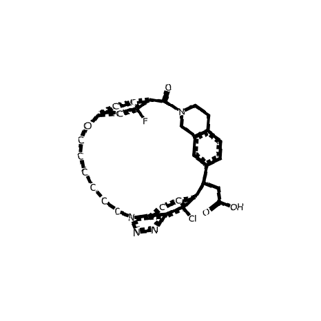 O=C(O)CC1c2ccc3c(c2)CN(CC3)C(=O)c2ccc(cc2F)OCCCCCCn2nnc3c(Cl)c1ccc32